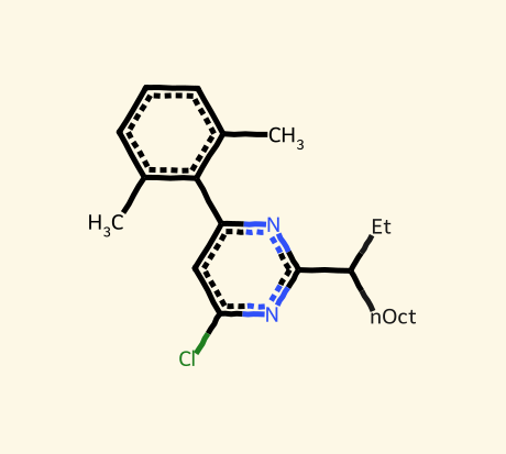 CCCCCCCCC(CC)c1nc(Cl)cc(-c2c(C)cccc2C)n1